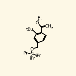 C=C(OCC)c1ccc(CO[Si](C(C)C)(C(C)C)C(C)C)cc1C(C)(C)C